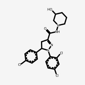 O=C(NN1CCCC(O)C1)C1=NN(c2ccc(Cl)cc2Cl)C(c2ccc(Cl)cc2)C1